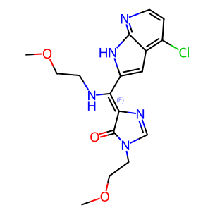 COCCN/C(=C1/N=CN(CCOC)C1=O)c1cc2c(Cl)ccnc2[nH]1